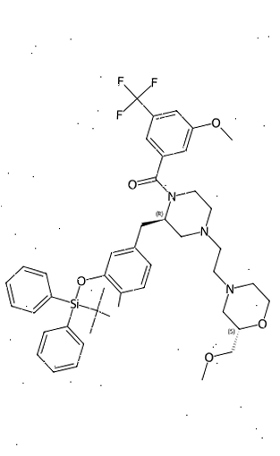 COC[C@@H]1CN(CCN2CCN(C(=O)c3cc(OC)cc(C(F)(F)F)c3)[C@H](Cc3ccc(C)c(O[Si](c4ccccc4)(c4ccccc4)C(C)(C)C)c3)C2)CCO1